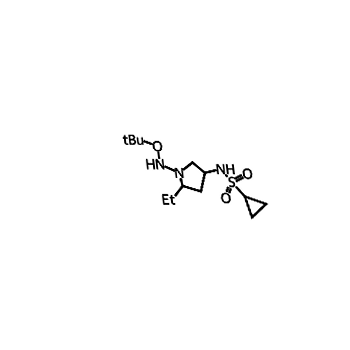 CCC1CC(NS(=O)(=O)C2CC2)CN1NOC(C)(C)C